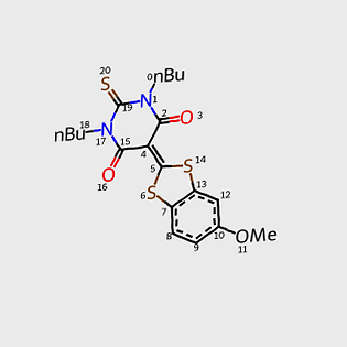 CCCCN1C(=O)C(=C2Sc3ccc(OC)cc3S2)C(=O)N(CCCC)C1=S